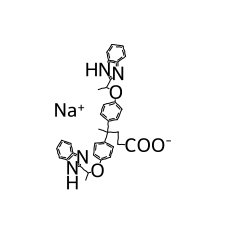 CC(Oc1ccc(C(C)(CCC(=O)[O-])c2ccc(OC(C)c3nc4ccccc4[nH]3)cc2)cc1)c1nc2ccccc2[nH]1.[Na+]